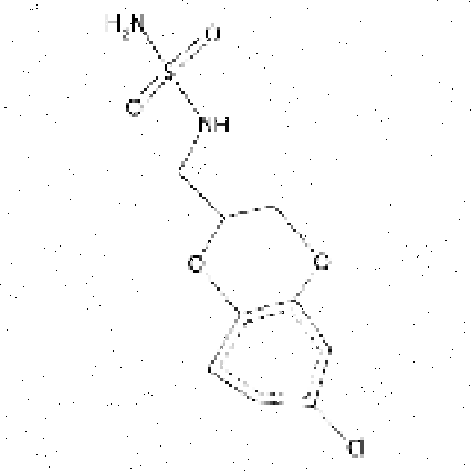 NS(=O)(=O)NCC1COc2cc(Cl)ccc2O1